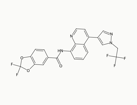 O=C(Nc1cccc2c(-c3cnn(CC(F)(F)F)c3)ccnc12)c1ccc2c(c1)OC(F)(F)O2